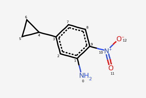 Nc1cc(C2CC2)ccc1[N+](=O)[O-]